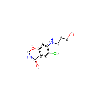 O=C1NCOc2cc(NCCCO)c(Cl)cc21